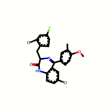 COc1ccc(C2=NC(Cc3ccc(F)cc3Cl)C(=O)Nc3ccc(Cl)cc32)cc1C